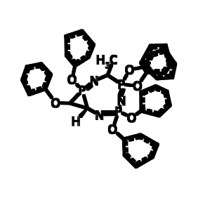 CC1N=P2(Oc3ccccc3)C(Oc3ccccc3)[C@H]2N=P(Oc2ccccc2)(Oc2ccccc2)N=P1(Oc1ccccc1)Oc1ccccc1